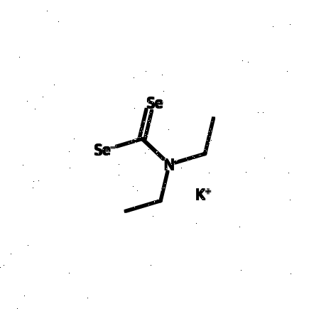 CCN(CC)C(=[Se])[Se-].[K+]